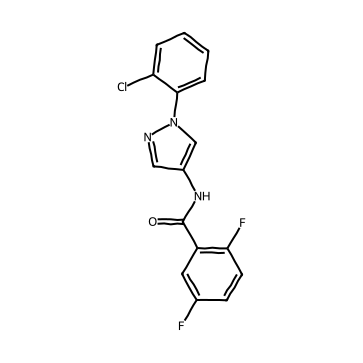 O=C(Nc1cnn(-c2ccccc2Cl)c1)c1cc(F)ccc1F